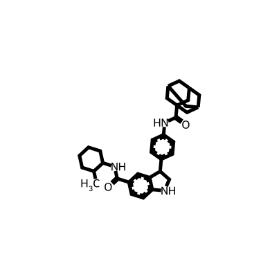 CC1CCCCC1NC(=O)c1ccc2c(c1)C(c1ccc(NC(=O)C34CC5CC(CC(C5)C3)C4)cc1)CN2